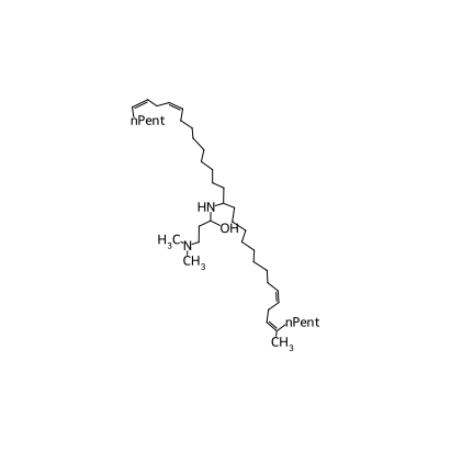 CCCCC/C=C\C/C=C\CCCCCCCCC(CCCCCCCC/C=C\C/C=C(/C)CCCCC)NC(O)CCN(C)C